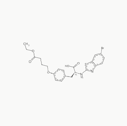 CCOC(=O)CCCOc1ccc(C[C@H](Nc2nc3ccc(Br)cc3s2)C(=O)O)cc1